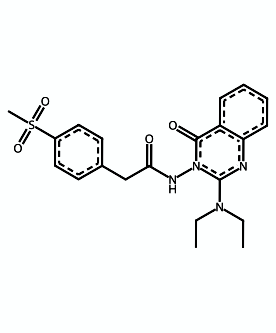 CCN(CC)c1nc2ccccc2c(=O)n1NC(=O)Cc1ccc(S(C)(=O)=O)cc1